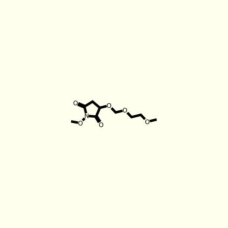 COCCOCOC1CC(=O)N(OC)C1=O